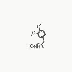 COc1ccc(CC(C)CNO)cc1OC